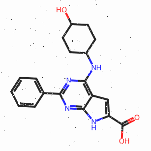 O=C(O)c1cc2c(NC3CCC(O)CC3)nc(-c3ccccc3)nc2[nH]1